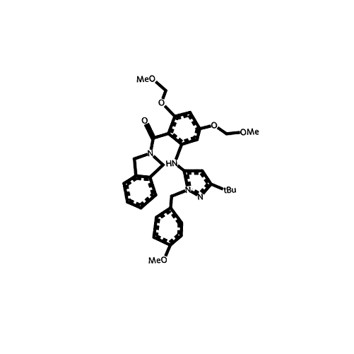 COCOc1cc(Nc2cc(C(C)(C)C)nn2Cc2ccc(OC)cc2)c(C(=O)N2Cc3ccccc3C2)c(OCOC)c1